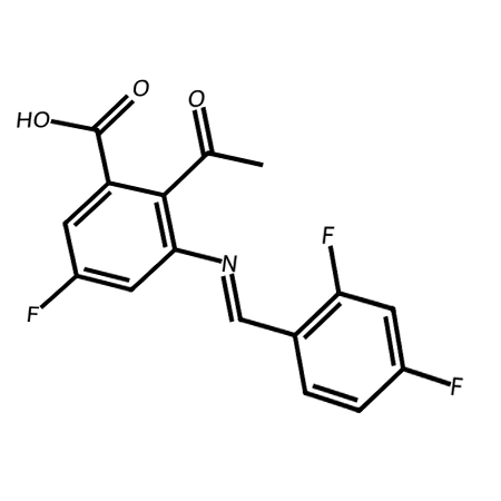 CC(=O)c1c(N=Cc2ccc(F)cc2F)cc(F)cc1C(=O)O